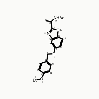 CCOc1ccc(COc2ccc3oc(C(C)NC(C)=O)nc3c2)cc1